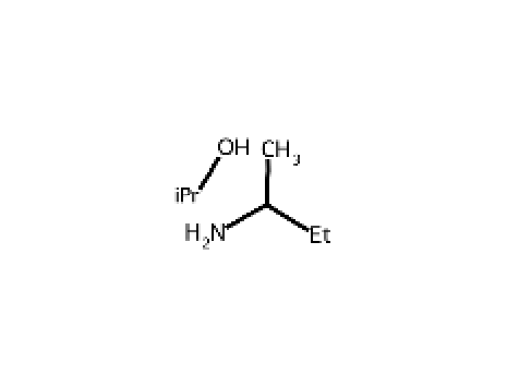 CC(C)O.CCC(C)N